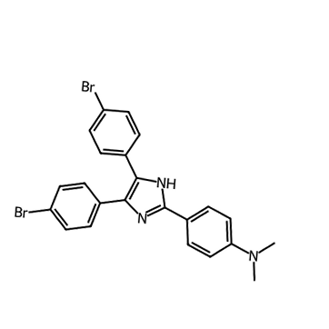 CN(C)c1ccc(-c2nc(-c3ccc(Br)cc3)c(-c3ccc(Br)cc3)[nH]2)cc1